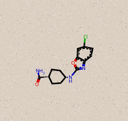 NC(=O)[C@H]1CC[C@H](Nc2nc3ccc(Cl)cc3o2)CC1